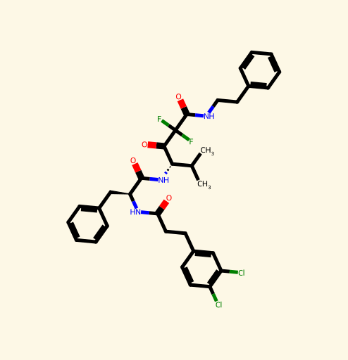 CC(C)[C@H](NC(=O)[C@H](Cc1ccccc1)NC(=O)CCc1ccc(Cl)c(Cl)c1)C(=O)C(F)(F)C(=O)NCCc1ccccc1